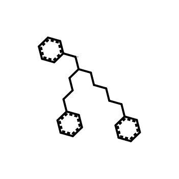 [CH](c1ccccc1)C(CCCCCc1ccccc1)CCCc1ccccc1